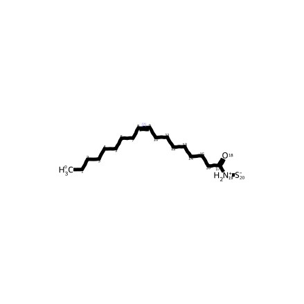 CCCCCCCC/C=C\CCCCCCCC(=O)[NH2+][S-]